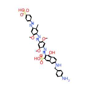 COc1cc(N=Nc2ccc(S(=O)(=O)O)cc2)c(C)cc1N=Nc1cc(OC)c(N=Nc2c(S(=O)(=O)O)cc3cc(NCc4ccc(N)cc4)ccc3c2O)cc1OC